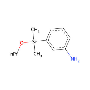 CCCO[Si](C)(C)c1cccc(N)c1